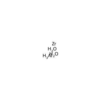 O.O.[AlH3].[Zr]